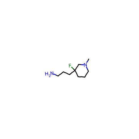 CN1CCCC(F)(CCCN)C1